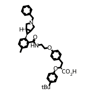 Cc1ccc([C@@H]2C3CN(Cc4ccccc4)C[C@@H]32)c(C(=O)NCCOc2ccc(C[C@H](Oc3ccc(C(C)(C)C)cc3)C(=O)O)cc2)c1